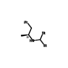 CCC(CC)N[C@@H](C)CC(C)C